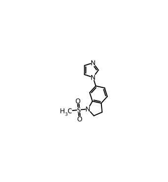 CS(=O)(=O)N1CCc2ccc(-n3ccnc3)cc21